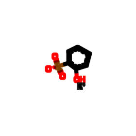 O=S(=O)([O-])c1ccccc1O.[K+]